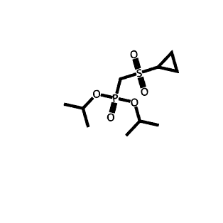 CC(C)OP(=O)(CS(=O)(=O)C1CC1)OC(C)C